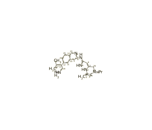 C=CN/C(=C\C(=N)Nc1cc2cc(C(/C=N\N)=C(C)C)ccc2cn1)CN(C)C(C)C